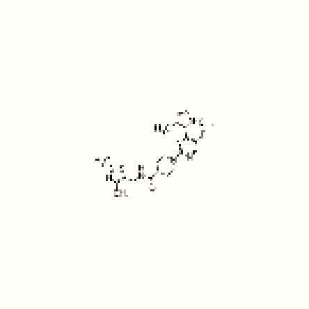 Cc1nc(C)c(CNC(=O)C2CCN(c3ncc(F)c(-c4c(C)cnn4C)n3)CC2)s1